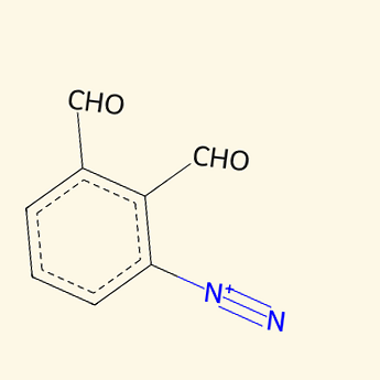 N#[N+]c1cccc(C=O)c1C=O